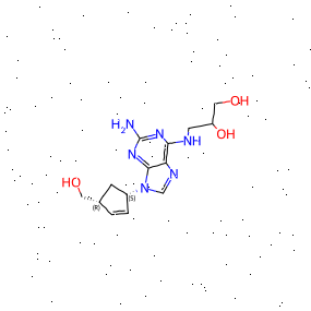 Nc1nc(NCC(O)CO)c2ncn([C@@H]3C=C[C@H](CO)C3)c2n1